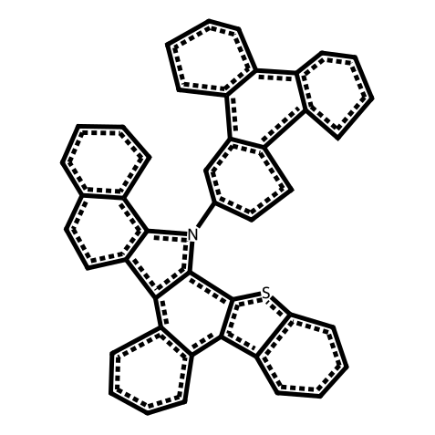 c1ccc2c(c1)ccc1c3c4ccccc4c4c5ccccc5sc4c3n(-c3ccc4c5ccccc5c5ccccc5c4c3)c21